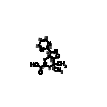 CC1(C)CN(C(=O)O)Cc2c(-c3ncccn3)noc21